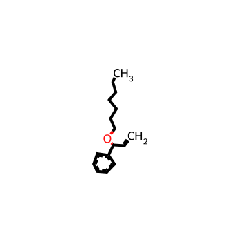 C=CC(OCCCCCCC)c1ccccc1